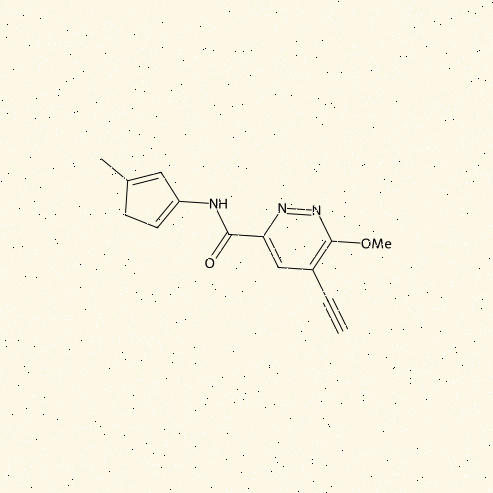 C#Cc1cc(C(=O)NC2=CCC(C)=C2)nnc1OC